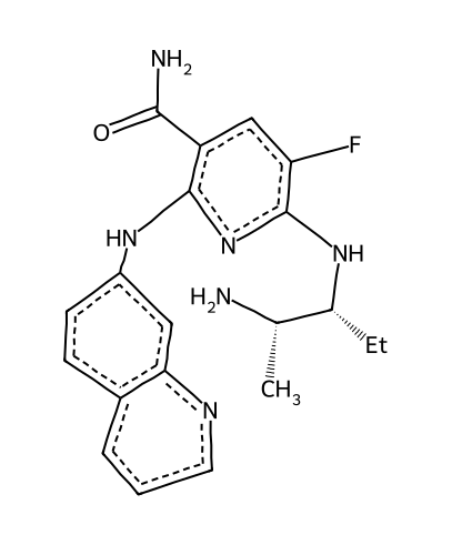 CC[C@@H](Nc1nc(Nc2ccc3cccnc3c2)c(C(N)=O)cc1F)[C@H](C)N